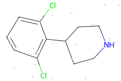 Clc1cccc(Cl)c1C1CCNCC1